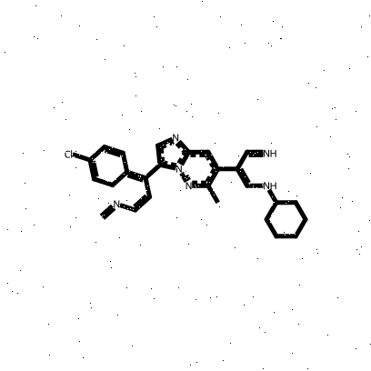 C=N/C=C\C(=C1\C=CC(Cl)=CC1)c1cnc2cc(/C(C=N)=C/NC3CCCCC3)c(C)nn12